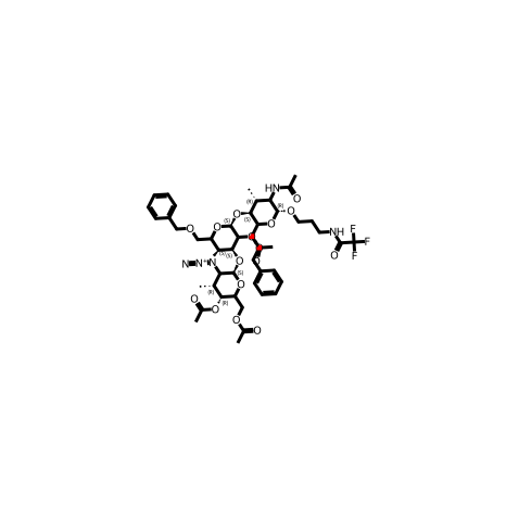 CC(=O)NC1[C@H](OCCCNC(=O)C(F)(F)F)OC(COCc2ccccc2)[C@@H](O[C@@H]2OC(COCc3ccccc3)[C@H](C)[C@H](O[C@H]3OC(COC(C)=O)[C@H](OC(C)=O)[C@H](C)C3N=[N+]=[N-])C2OC(C)=O)[C@@H]1C